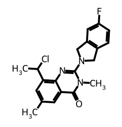 Cc1cc(C(C)Cl)c2nc(N3Cc4ccc(F)cc4C3)n(C)c(=O)c2c1